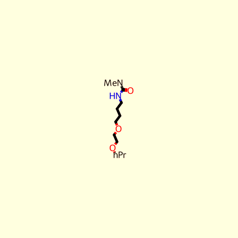 CCCOCCOCCCCNC(=O)NC